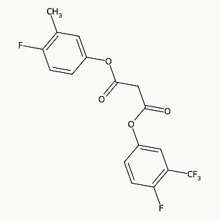 Cc1cc(OC(=O)CC(=O)Oc2ccc(F)c(C(F)(F)F)c2)ccc1F